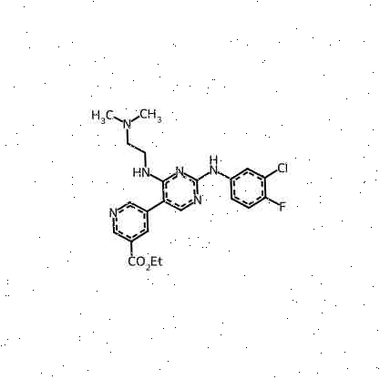 CCOC(=O)c1cncc(-c2cnc(Nc3ccc(F)c(Cl)c3)nc2NCCN(C)C)c1